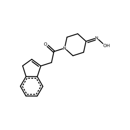 O=C(CC1=CCc2ccccc21)N1CCC(=NO)CC1